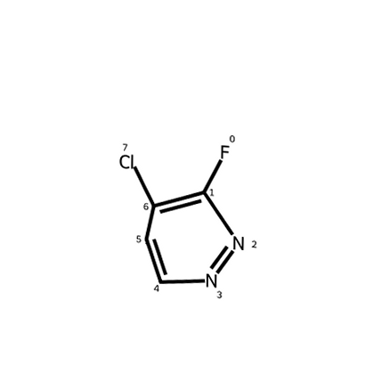 Fc1nnc[c]c1Cl